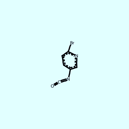 O=C=Nc1ccc(Br)nc1